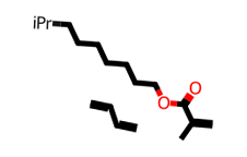 C=C(C)C(=O)OCCCCCCCC(C)C.C=CC=C